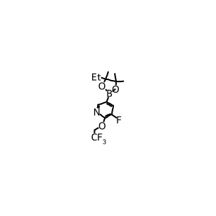 CCC1(C)OB(c2cnc(OCC(F)(F)F)c(F)c2)OC1(C)C